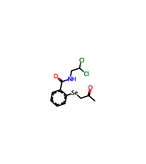 CC(=O)C[Se]c1ccccc1C(=O)NCC(Cl)Cl